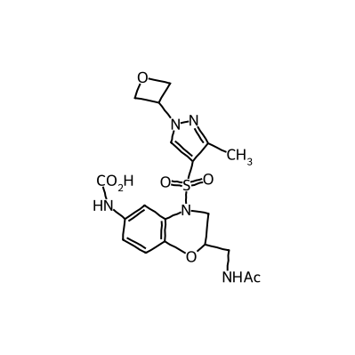 CC(=O)NCC1CN(S(=O)(=O)c2cn(C3COC3)nc2C)c2cc(NC(=O)O)ccc2O1